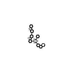 C1=Cc2ccc3ccc(-c4nc(-c5ccccc5)nc(-c5cccc6oc7cc(-c8ccc9c(c8)sc8ccccc89)ccc7c56)n4)cc3c2CC1